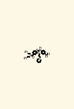 CCN(CC)c1ccc(Nc2nc3ccc(C(=O)N(CCC(C)C)CCC(C)C)cc3n2CCCN2CCCCC2)cc1